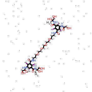 CC(O)(CO)NC(=O)c1c(I)c(NC(=O)CO)c(I)c(C(=O)NCCCOCCOCCOCCOCCCNC(=O)c2c(I)c(NC(=O)CO)c(I)c(C(=O)NC(C)(O)CO)c2I)c1I